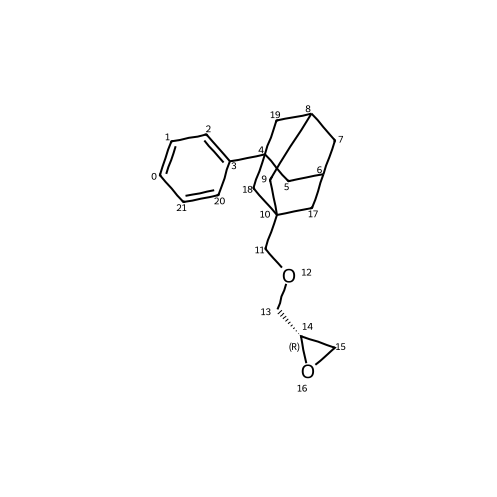 c1ccc(C23CC4CC(CC(COC[C@@H]5CO5)(C4)C2)C3)cc1